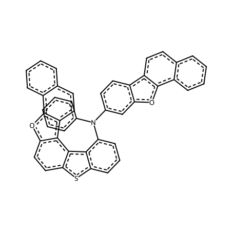 c1ccc(N(c2ccc3c(c2)oc2c4ccccc4ccc32)c2cccc3sc4ccc5oc6c7ccccc7ccc6c5c4c23)cc1